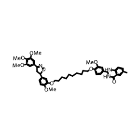 COc1cc(C2NC(=O)c3cc(C)ccc3N2)ccc1OCCCCCCCCCCOc1cc(C2CC(c3cc(OC)c(OC)c(OC)c3)=NO2)ccc1OC